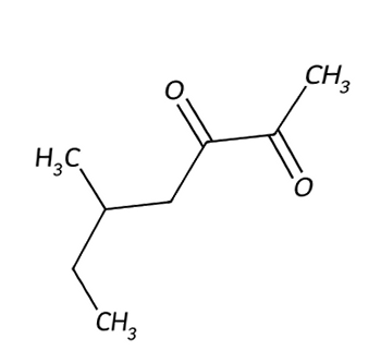 CCC(C)CC(=O)C(C)=O